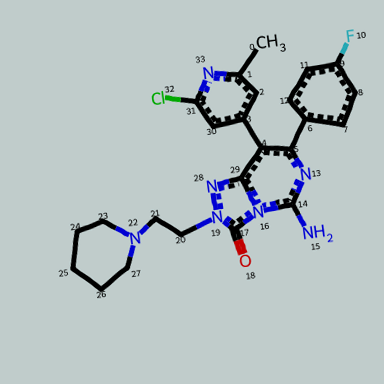 Cc1cc(-c2c(-c3ccc(F)cc3)nc(N)n3c(=O)n(CCN4CCCCC4)nc23)cc(Cl)n1